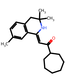 Cc1ccc2c(c1)/C(=C/C(=O)C1CCCCCC1)NC(C)(C)C2